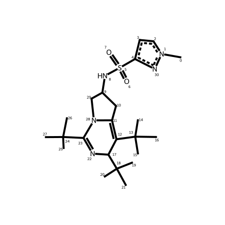 Cn1ccc(S(=O)(=O)NC2CC3=C(C(C)(C)C)C(C(C)(C)C)N=C(C(C)(C)C)N3C2)n1